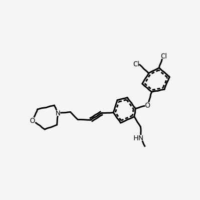 CNCc1cc(C#CCCN2CCOCC2)ccc1Oc1ccc(Cl)c(Cl)c1